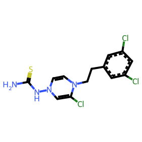 NC(=S)NN1C=CN(CCc2cc(Cl)cc(Cl)c2)C(Cl)=C1